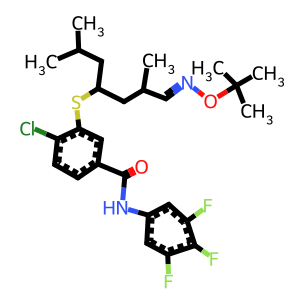 CC(C)CC(CC(C)/C=N/OC(C)(C)C)Sc1cc(C(=O)Nc2cc(F)c(F)c(F)c2)ccc1Cl